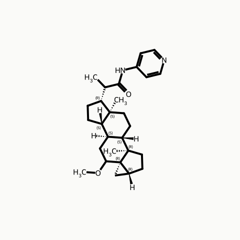 COC1C[C@H]2[C@@H]3CC[C@H](C(C)C(=O)Nc4ccncc4)[C@@]3(C)CC[C@@H]2[C@@]2(C)CC[C@@H]3C[C@@]132